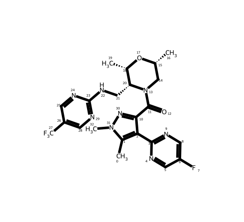 Cc1c(-c2ncc(F)cn2)c(C(=O)N2C[C@@H](C)O[C@@H](C)[C@H]2CNc2ncc(C(F)(F)F)cn2)nn1C